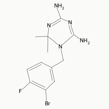 CC1(C)N=C(N)N=C(N)N1Cc1ccc(F)c(Br)c1